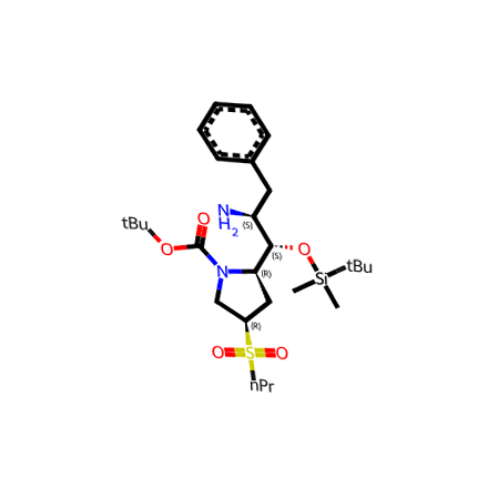 CCCS(=O)(=O)[C@@H]1C[C@H]([C@@H](O[Si](C)(C)C(C)(C)C)[C@@H](N)Cc2ccccc2)N(C(=O)OC(C)(C)C)C1